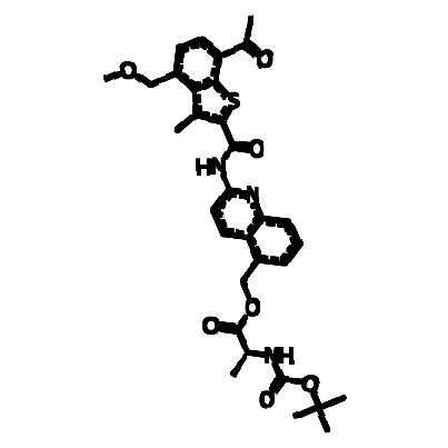 COCc1ccc(C(C)=O)c2sc(C(=O)Nc3ccc4c(COC(=O)[C@H](C)NC(=O)OC(C)(C)C)cccc4n3)c(C)c12